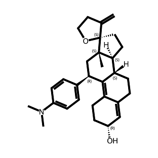 C=C1CCO[C@@]12CC[C@H]1[C@@H]3CCC4=C[C@H](O)CCC4=C3[C@@H](c3ccc(N(C)C)cc3)C[C@@]12C